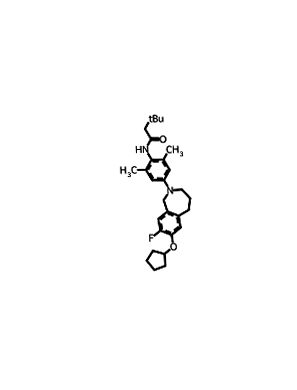 Cc1cc(N2CCCc3cc(OC4CCCC4)c(F)cc3C2)cc(C)c1NC(=O)CC(C)(C)C